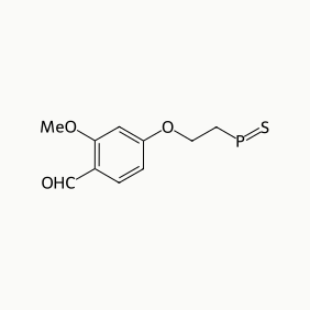 COc1cc(OCCP=S)ccc1C=O